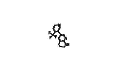 FC(F)(F)c1ccncc1-c1cnc2c(c1)CCCN2